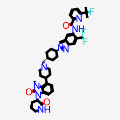 Cn1c(=O)n(C2CCCNC2=O)c2cccc(C3CCN(C[C@H]4CC[C@H](n5cc6cc(NC(=O)c7cccc(C(C)(C)F)n7)c(C(F)F)cc6n5)CC4)CC3)c21